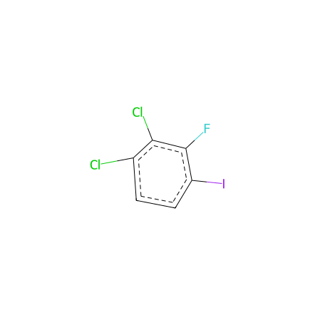 Fc1c(I)ccc(Cl)c1Cl